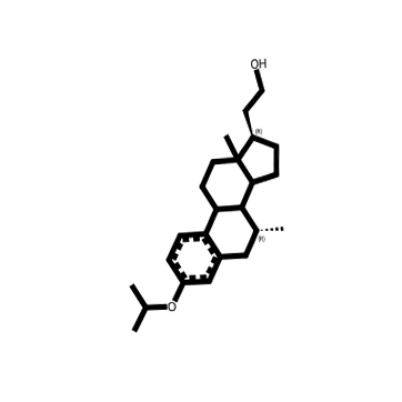 CC(C)Oc1ccc2c(c1)C[C@@H](C)C1C2CCC2(C)C1CC[C@@H]2CCO